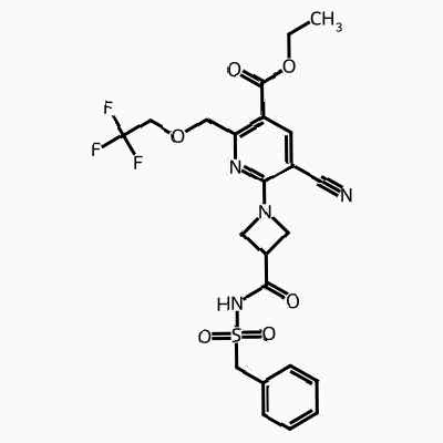 CCOC(=O)c1cc(C#N)c(N2CC(C(=O)NS(=O)(=O)Cc3ccccc3)C2)nc1COCC(F)(F)F